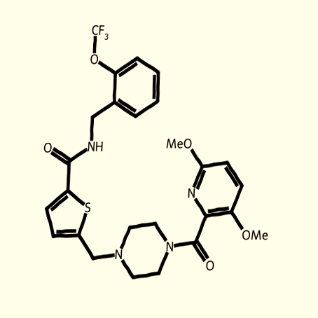 COc1ccc(OC)c(C(=O)N2CCN(Cc3ccc(C(=O)NCc4ccccc4OC(F)(F)F)s3)CC2)n1